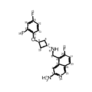 Nc1cc2c(CN[C@H]3C[C@H](Oc4ccc(F)cc4F)C3)c(F)ccc2cn1